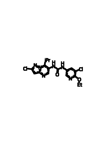 CCOc1ncc(NC(=O)Nc2cnc3cc(Cl)nn3c2C(C)C)cc1Cl